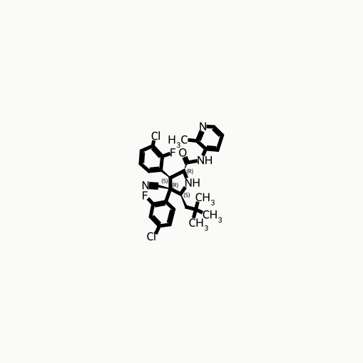 Cc1ncccc1NC(=O)[C@@H]1N[C@@H](CC(C)(C)C)[C@](C#N)(c2ccc(Cl)cc2F)[C@H]1c1cccc(Cl)c1F